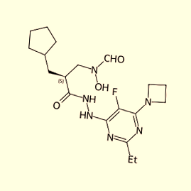 CCc1nc(NNC(=O)[C@@H](CC2CCCC2)CN(O)C=O)c(F)c(N2CCC2)n1